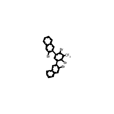 FC(F)(F)c1c(Br)c(-c2cc3ccccc3cc2Br)cc(-c2cc3ccccc3cc2Br)c1Br